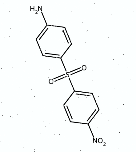 Nc1ccc(S(=O)(=O)c2ccc([N+](=O)[O-])cc2)cc1